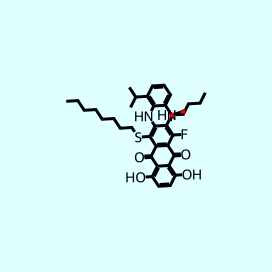 CCCCCCCCSc1c(Nc2c(C(C)C)cccc2C(C)C)c(NCCCC)c(F)c2c1C(=O)c1c(O)ccc(O)c1C2=O